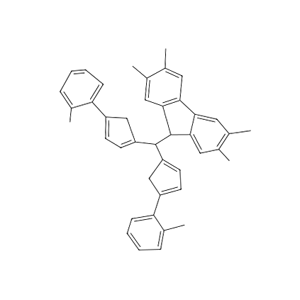 Cc1cc2c(cc1C)C(C(C1=CC=C(c3ccccc3C)C1)C1=CC=C(c3ccccc3C)C1)c1cc(C)c(C)cc1-2